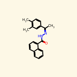 CC(=NNC(=O)c1cccc2ccccc12)c1ccc(C)c(C)c1